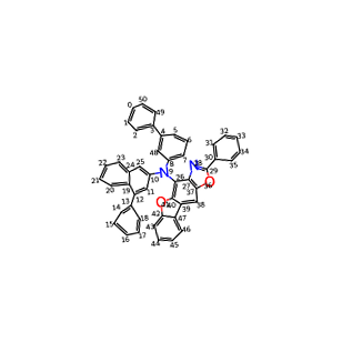 c1ccc(-c2cccc(N(c3cc(-c4ccccc4)c4ccccc4c3)c3c4nc(-c5ccccc5)oc4cc4c3oc3ccccc34)c2)cc1